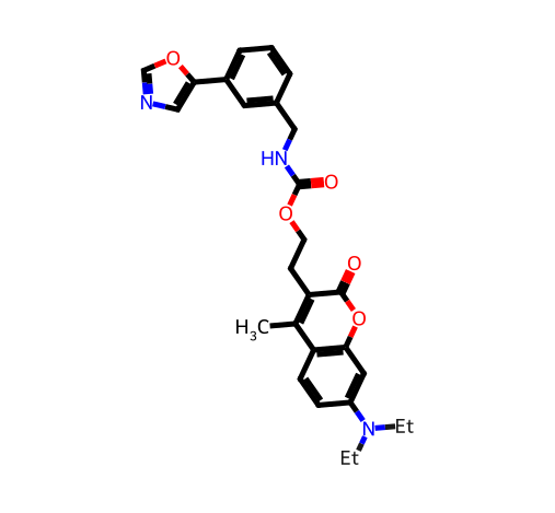 CCN(CC)c1ccc2c(C)c(CCOC(=O)NCc3cccc(-c4cnco4)c3)c(=O)oc2c1